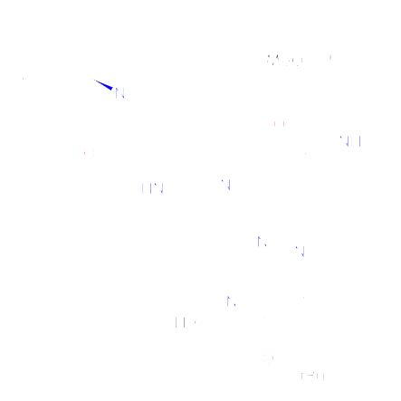 CO[C@@H]1CCC1NC(=O)c1cnn2c(N(C)C(=O)OC(C)(C)C)cc(Nc3cccn([C@@H]4CCCOC4)c3=O)nc12